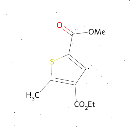 CCOC(=O)c1[c]c(C(=O)OC)sc1C